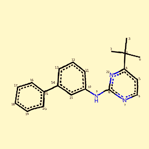 CC(C)(C)c1ccnc(Nc2cccc(-c3ccccc3)c2)n1